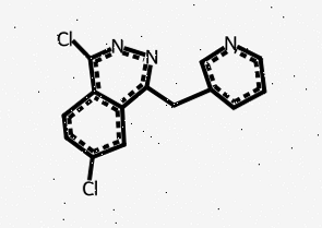 Clc1ccc2c(Cl)nnc(Cc3cccnc3)c2c1